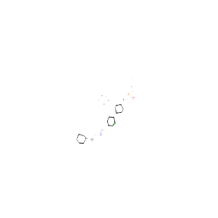 Cl.O=C(NS(=O)(=O)CCCCO)c1ccc(-c2ccc(CCNC[C@H](O)c3ccccc3)cc2)cc1OC1CCCCC1